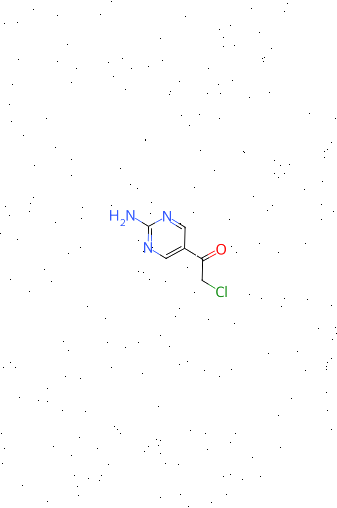 Nc1ncc(C(=O)CCl)cn1